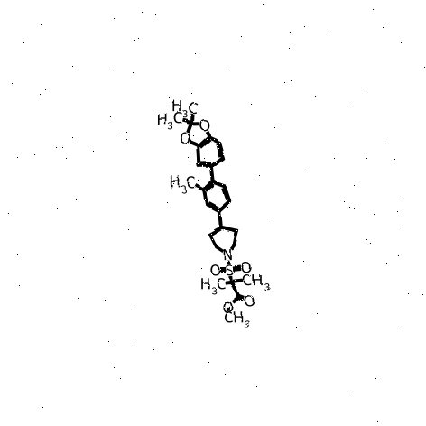 COC(=O)C(C)(C)S(=O)(=O)N1CCC(c2ccc(-c3ccc4c(c3)OC(C)(C)O4)c(C)c2)CC1